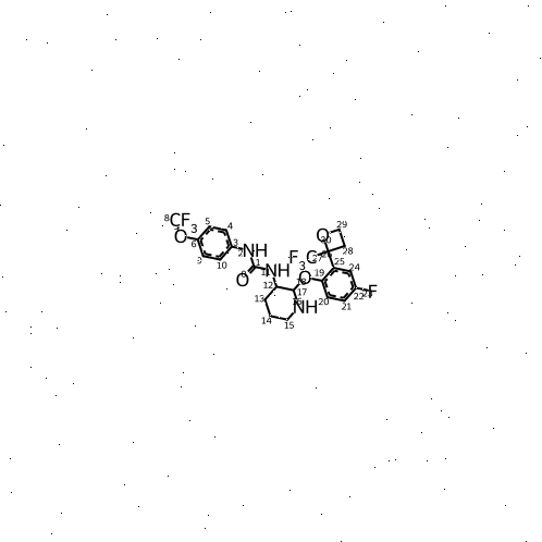 O=C(Nc1ccc(OC(F)(F)F)cc1)NC1CCCNC1Oc1ccc(F)cc1C1(C(F)(F)F)CCO1